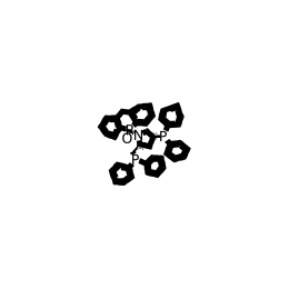 O=P1(N2C[C@@H](P(c3ccccc3)c3ccccc3)C[C@H]2CP(c2ccccc2)c2ccccc2)c2ccccc2Cc2ccccc21